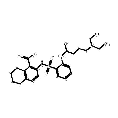 CCN(CC)CCCC(C)Nc1ccccc1S(=O)(=O)Nc1ccc2c(c1C(=O)O)CCCC2